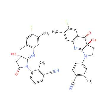 Cc1cc2c(cc1F)C(=O)[C@]1(O)CCN(c3ccc(C#N)c(C)c3)C1=N2.Cc1cc2c(cc1F)C[C@]1(O)CC(=O)N(c3cccc(C#N)c3C)C1=N2